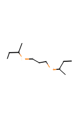 CCC(C)PCCCPC(C)CC